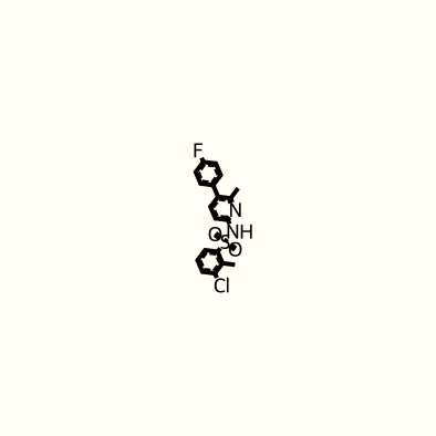 Cc1nc(NS(=O)(=O)c2cccc(Cl)c2C)ccc1-c1ccc(F)cc1